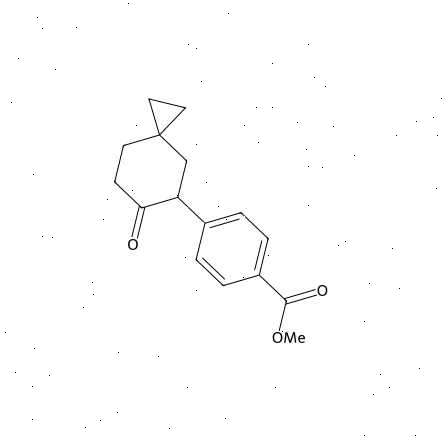 COC(=O)c1ccc(C2CC3(CCC2=O)CC3)cc1